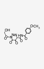 COc1ccc(C(=O)NC(=O)C2N=NN(C3OC3CO)C(=O)C2=O)cc1